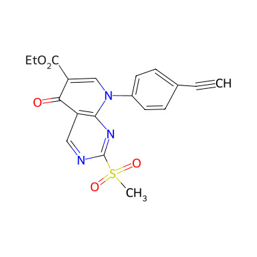 C#Cc1ccc(-n2cc(C(=O)OCC)c(=O)c3cnc(S(C)(=O)=O)nc32)cc1